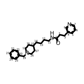 O=C(CCc1cccnc1)NCCCCC1CCN(Cc2ccccc2)CC1